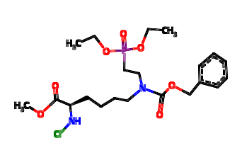 CCOP(=O)(CCN(CCCC[C@@H](NCl)C(=O)OC)C(=O)OCc1ccccc1)OCC